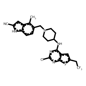 Cc1c(CN2CCC(Nc3nc(Cl)nc4sc(CC(F)(F)F)cc34)CC2)ccc2[nH]c(C#N)cc12